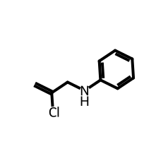 C=C(Cl)CNc1ccccc1